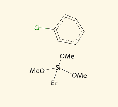 CC[Si](OC)(OC)OC.Clc1ccccc1